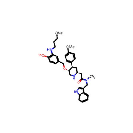 COCCCNc1cc(CO[C@H]2CN[C@H](CC(=O)N(C)Cc3c[nH]c4ccccc34)C[C@@H]2c2ccc(OC)cc2)ccc1O